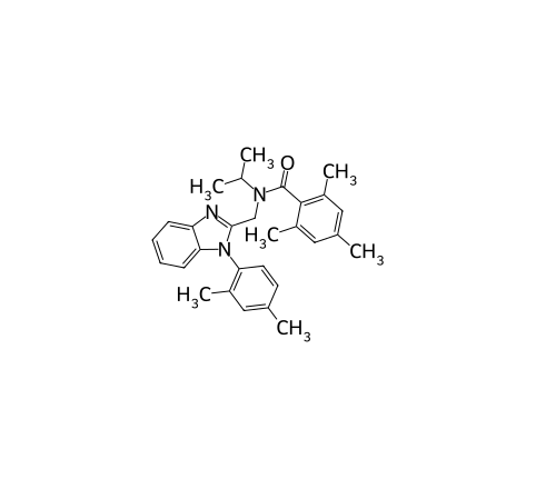 Cc1ccc(-n2c(CN(C(=O)c3c(C)cc(C)cc3C)C(C)C)nc3ccccc32)c(C)c1